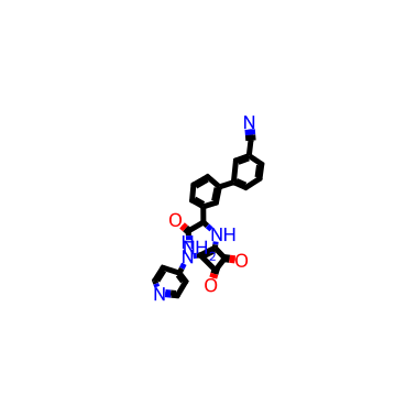 N#Cc1cccc(-c2cccc(C(Nc3c(Nc4ccncc4)c(=O)c3=O)C(N)=O)c2)c1